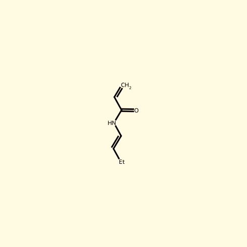 C=CC(=O)NC=CCC